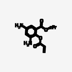 C=CC(=O)Oc1c(N)cc(N)cc1C(=O)OCCC